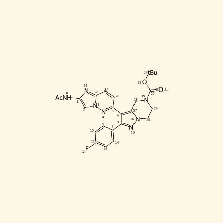 CC(=O)Nc1cn2nc(-c3c(-c4ccc(F)cc4)nn4c3CN(C(=O)OC(C)(C)C)CC4)ccc2n1